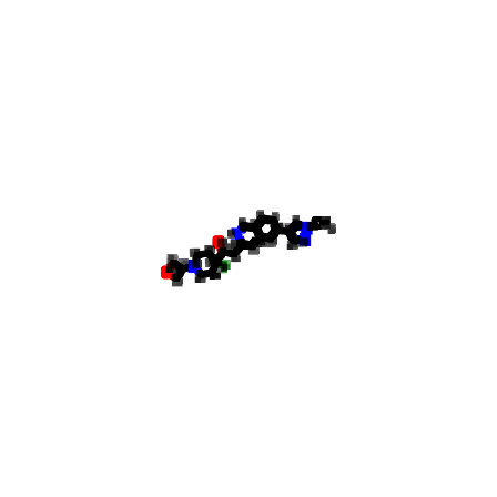 Cn1cc(-c2ccc3cnc(CC(=O)C4(F)CCN(C5COC5)CC4)cc3c2)cn1